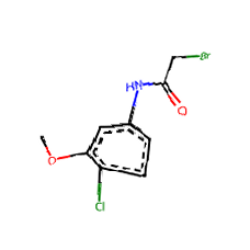 COc1cc(NC(=O)CBr)ccc1Cl